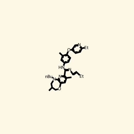 CC/C=C/N=C(/Nc1ccc(Oc2ccc(CC)nc2)c(C)c1)c1nc2c(cc1C)OCC(C)CN2CCCC